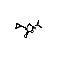 CC(C)[C@H]1CN(C2CC2)C(=O)O1